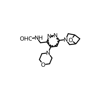 O=CNCc1nnc(N2CC3CC(C2)O3)cc1N1CCOCC1